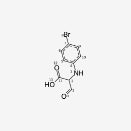 O=CC(Nc1ccc(Br)cc1)C(=O)O